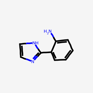 Nc1ccccc1-c1ncc[nH]1